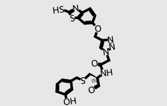 O=C[C@@H](CSCc1cccc(O)c1)NC(=O)Cn1cc(COc2ccc3nc(S)sc3c2)nn1